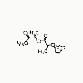 C1CCOC1.C=C(C)C(=O)OC(C)C(=O)OC